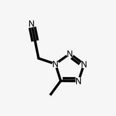 Cc1nnnn1CC#N